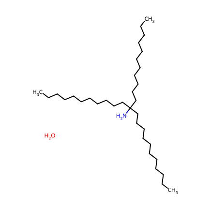 CCCCCCCCCCCC(N)(CCCCCCCCCCC)CCCCCCCCCCC.O